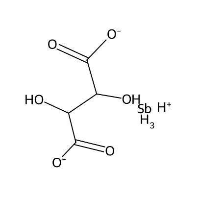 O=C([O-])C(O)C(O)C(=O)[O-].[H+].[SbH3]